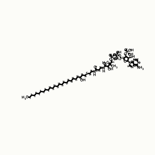 CCCCCCCCCCCCCCCCCCCCCCC[C@H](O)CCSCCNC(=O)CCNC(=O)[C@H](O)C(C)(C)COP(=O)(O)OP(=O)(O)OC[C@H]1O[C@@H](n2cnc3c(N)ncnc32)[C@H](O)[C@@H]1OP(=O)(O)O